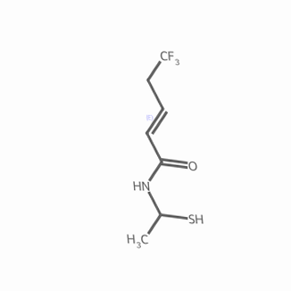 CC(S)NC(=O)/C=C/CC(F)(F)F